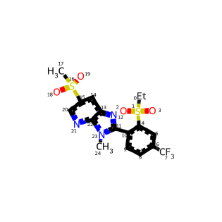 CCS(=O)(=O)c1cc(C(F)(F)F)ccc1-c1nc2cc(S(C)(=O)=O)cnc2n1C